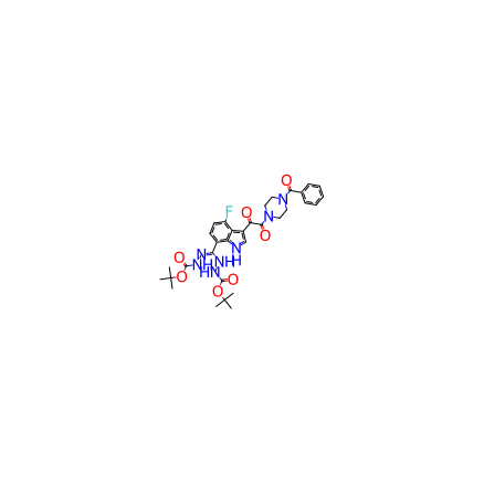 CC(C)(C)OC(=O)N/N=C(\NNC(=O)OC(C)(C)C)c1ccc(F)c2c(C(=O)C(=O)N3CCN(C(=O)c4ccccc4)CC3)c[nH]c12